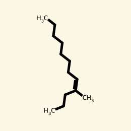 CCCCCCC/C=C(/C)CCC